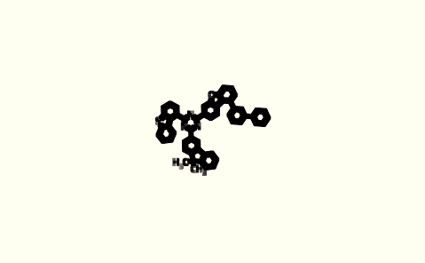 CC1(C)c2ccccc2-c2cc(-c3nc(-c4ccc5c(c4)oc4cccc(-c6cccc(-c7ccccc7)c6)c45)nc(-c4cccc5sc6ccccc6c45)n3)ccc21